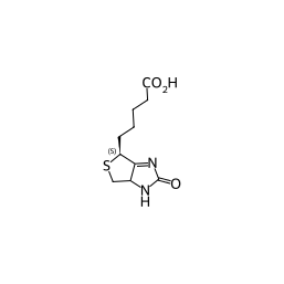 O=C(O)CCCC[C@@H]1SCC2NC(=O)N=C21